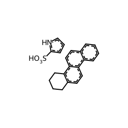 O=S(=O)(O)c1ccc[nH]1.c1ccc2c(c1)ccc1c3c(ccc12)CCCC3